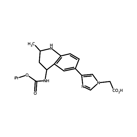 CC1CC(NC(=O)OC(C)C)c2cc(-c3cn(CC(=O)O)cn3)ccc2N1